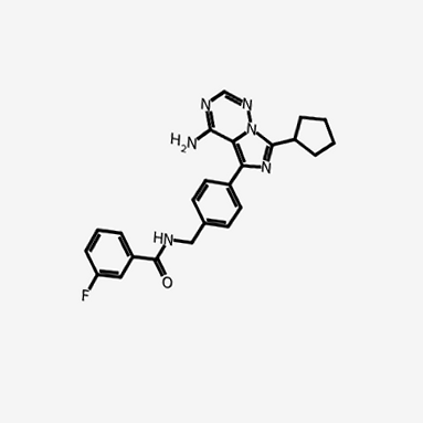 Nc1ncnn2c(C3CCCC3)nc(-c3ccc(CNC(=O)c4cccc(F)c4)cc3)c12